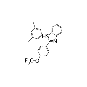 Cc1cc(C)cc([SH]2C(c3ccc(OC(F)(F)F)cc3)=Nc3ccccc32)c1